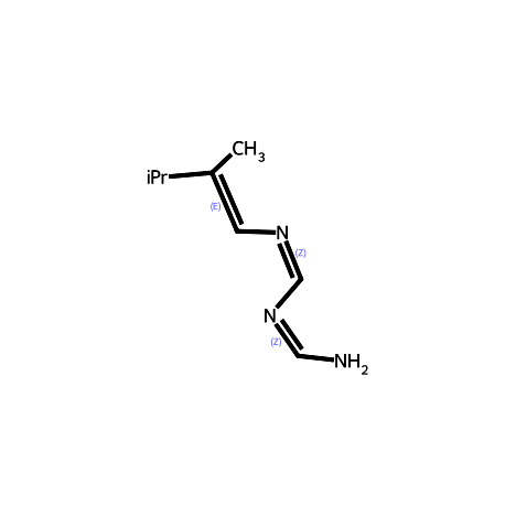 C\C(=C/N=C\N=C/N)C(C)C